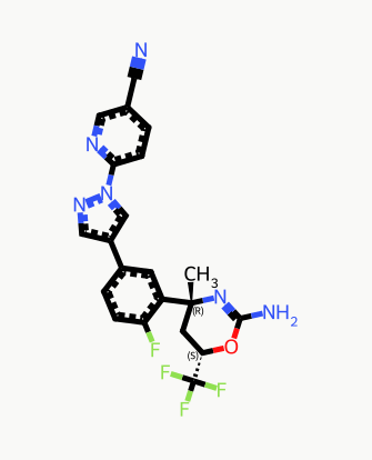 C[C@]1(c2cc(-c3cnn(-c4ccc(C#N)cn4)c3)ccc2F)C[C@@H](C(F)(F)F)OC(N)=N1